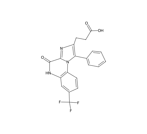 O=C(O)CCc1nc2c(=O)[nH]c3cc(C(F)(F)F)ccc3n2c1-c1ccccc1